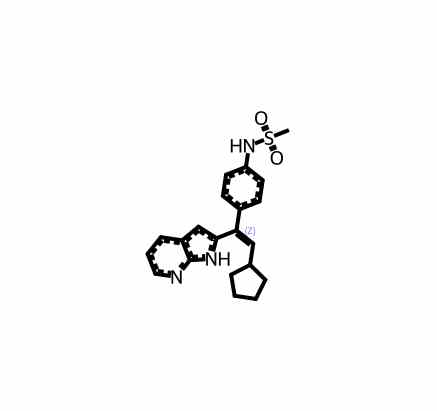 CS(=O)(=O)Nc1ccc(/C(=C/C2CCCC2)c2cc3cccnc3[nH]2)cc1